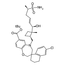 C[C@H](C/C=C/[C@@H](O)[C@@]1(C)CC[C@@H]1CN1CC2(CCCc3cc(Cl)ccc32)COc2ccc(C(=O)OC(C)(C)C)cc21)S(N)(=O)=O